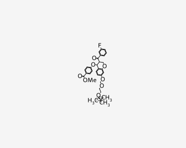 COC(=O)c1ccc(OC2c3ccc(OCOCCO[Si](C)(C)C)cc3OCC2C(=O)c2cccc(F)c2)cc1